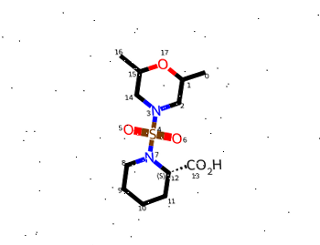 CC1CN(S(=O)(=O)N2CCCC[C@H]2C(=O)O)CC(C)O1